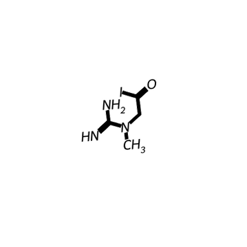 CN(CC(=O)I)C(=N)N